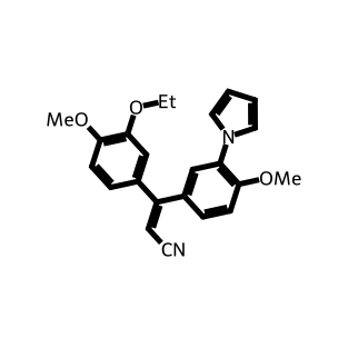 CCOc1cc(C(=CC#N)c2ccc(OC)c(-n3cccc3)c2)ccc1OC